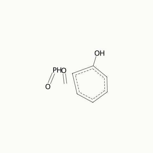 C=O.O=P.Oc1ccccc1